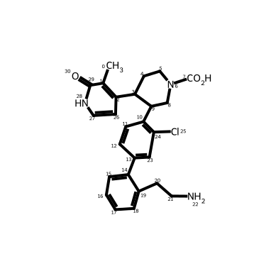 Cc1c(C2CCN(C(=O)O)CC2c2ccc(-c3ccccc3CCN)cc2Cl)cc[nH]c1=O